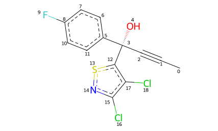 CC#C[C@](O)(c1ccc(F)cc1)c1snc(Cl)c1Cl